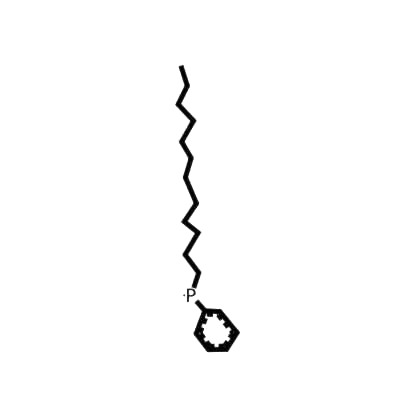 CCCCCCCCCCCC[P]c1ccccc1